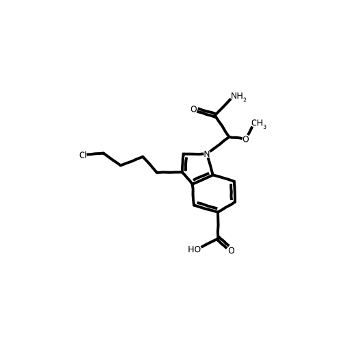 COC(C(N)=O)n1cc(CCCCCl)c2cc(C(=O)O)ccc21